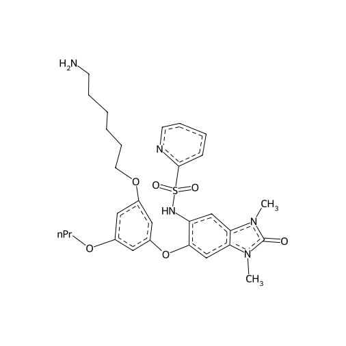 CCCOc1cc(OCCCCCCN)cc(Oc2cc3c(cc2NS(=O)(=O)c2ccccn2)n(C)c(=O)n3C)c1